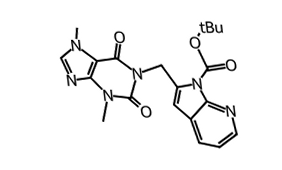 Cn1cnc2c1c(=O)n(Cc1cc3cccnc3n1C(=O)OC(C)(C)C)c(=O)n2C